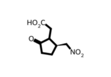 O=C(O)CC1C(=O)CC[C@@H]1C[N+](=O)[O-]